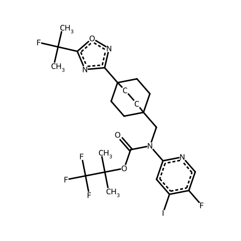 CC(C)(F)c1nc(C23CCC(CN(C(=O)OC(C)(C)C(F)(F)F)c4cc(I)c(F)cn4)(CC2)CC3)no1